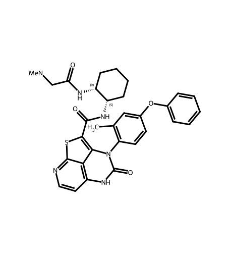 CNCC(=O)N[C@@H]1CCCC[C@@H]1NC(=O)c1sc2nccc3c2c1N(c1ccc(Oc2ccccc2)cc1C)C(=O)N3